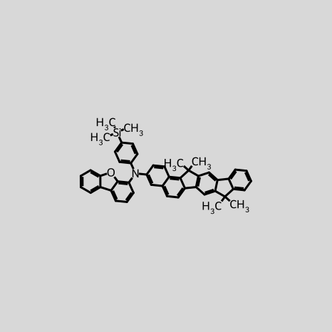 CC1(C)c2ccccc2-c2cc3c(cc21)-c1ccc2cc(N(c4ccc([Si](C)(C)C)cc4)c4cccc5c4oc4ccccc45)ccc2c1C3(C)C